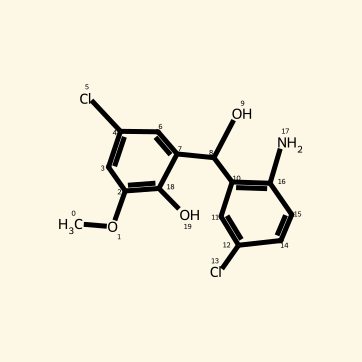 COc1cc(Cl)cc(C(O)c2cc(Cl)ccc2N)c1O